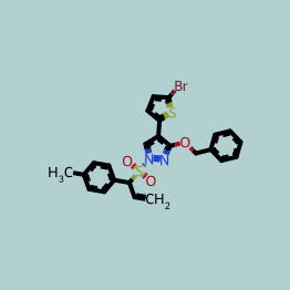 C=CC(c1ccc(C)cc1)S(=O)(=O)n1cc(-c2ccc(Br)s2)c(OCc2ccccc2)n1